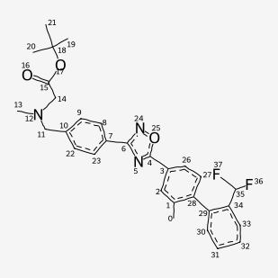 Cc1cc(-c2nc(-c3ccc(CN(C)CC(=O)OC(C)(C)C)cc3)no2)ccc1-c1ccccc1C(F)F